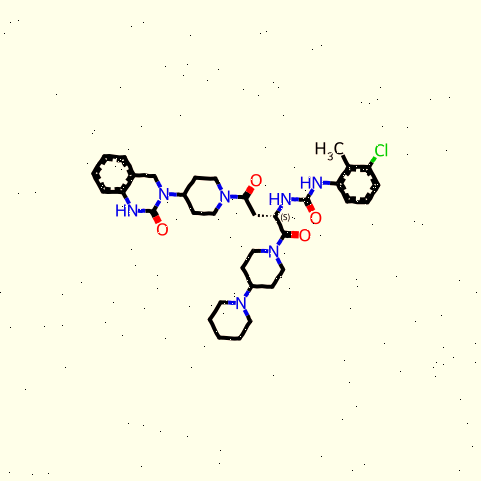 Cc1c(Cl)cccc1NC(=O)N[C@@H](CC(=O)N1CCC(N2Cc3ccccc3NC2=O)CC1)C(=O)N1CCC(N2CCCCC2)CC1